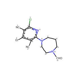 CCc1c(C#N)c(Cl)nc(N2CCCN(C=O)CC2)c1C#N